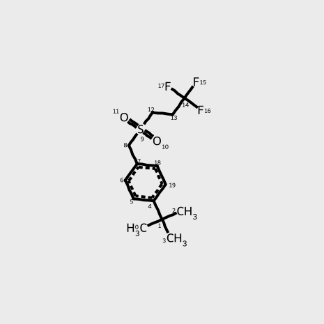 CC(C)(C)c1ccc(CS(=O)(=O)CCC(F)(F)F)cc1